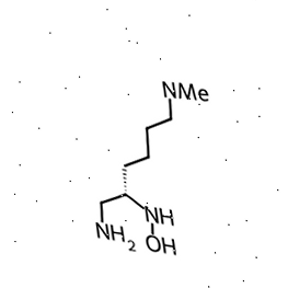 CNCCCC[C@@H](CN)NO